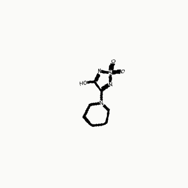 O=S1(=O)N=C(O)C(N2CCCCC2)=N1